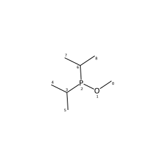 COP(C(C)C)C(C)C